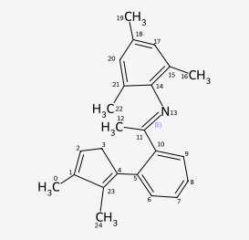 CC1=CCC(c2ccccc2/C(C)=N/c2c(C)cc(C)cc2C)=C1C